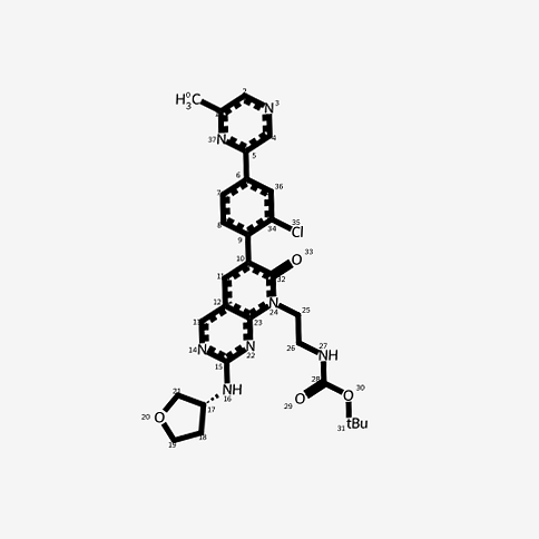 Cc1cncc(-c2ccc(-c3cc4cnc(N[C@@H]5CCOC5)nc4n(CCNC(=O)OC(C)(C)C)c3=O)c(Cl)c2)n1